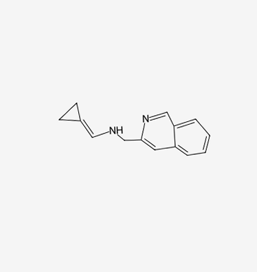 C(NCc1cc2ccccc2cn1)=C1CC1